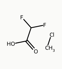 CCl.O=C(O)C(F)F